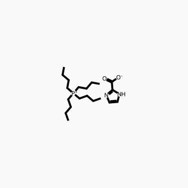 CCCC[P+](CCCC)(CCCC)CCCC.O=C([O-])c1ncc[nH]1